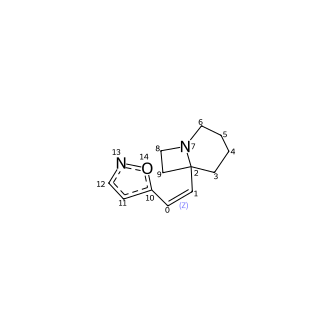 C(=C/C12CCCCN1CC2)/c1ccno1